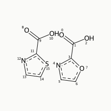 O=C(O)c1ncco1.O=C(O)c1nccs1